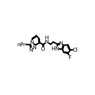 CCCc1nnc2c(C(=O)NCCc3nc4cc(Cl)c(F)cc4[nH]3)cccn12